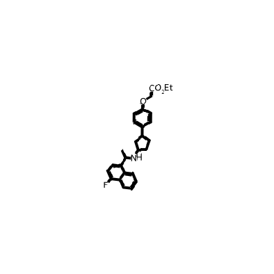 CCOC(=O)COc1ccc(C2CCC(NC(C)c3ccc(F)c4ccccc34)C2)cc1